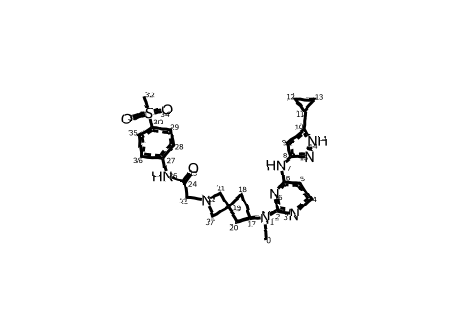 CN(c1nccc(Nc2cc(C3CC3)[nH]n2)n1)C1CC2(C1)CN(CC(=O)Nc1ccc(S(C)(=O)=O)cc1)C2